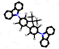 [2H]c1c([2H])c(-n2c3ccccc3c3ccccc32)c([2H])c2c1-c1c([2H])c([2H])c(-n3c4ccccc4c4ccccc43)c([2H])c1C2(C([2H])([2H])[2H])C([2H])([2H])[2H]